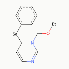 CCOCN1C=NC=CC1[Se]c1ccccc1